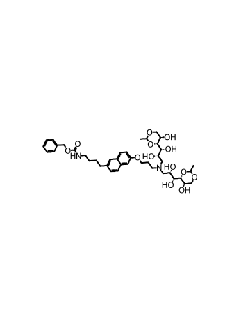 CC1OC[C@@H](O)[C@H]([C@H](O)[C@@H](O)CN(CCCOc2ccc3cc(CCCCNC(=O)OCc4ccccc4)ccc3c2)C[C@H](O)[C@@H](O)[C@@H]2OC(C)OC[C@H]2O)O1